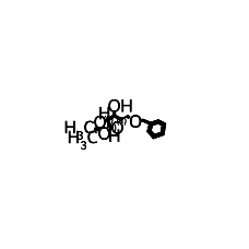 CC1(C)O[C@H]2O[C@H](COCc3ccccc3)C(O)[C@@H]2O1